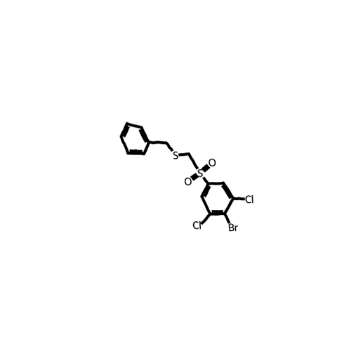 O=S(=O)(CSCc1ccccc1)c1cc(Cl)c(Br)c(Cl)c1